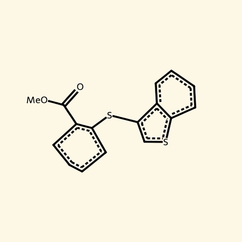 COC(=O)c1ccccc1Sc1csc2ccccc12